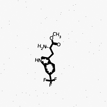 COC(=O)[C@@H](N)Cc1c[nH]c2cc(C(F)(F)F)ccc12